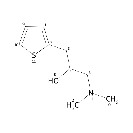 CN(C)CC(O)Cc1cccs1